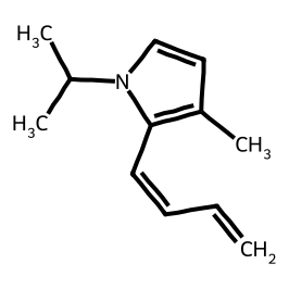 C=C/C=C\c1c(C)ccn1C(C)C